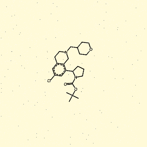 CC(C)(C)OC(=O)N1CCCC1c1cc(Cl)cc2c1CN(CC1CCOCC1)CC2